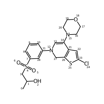 CC(O)CS(=O)(=O)c1cccc(N2C=C(N3CCOCC3)c3cc(Cl)sc3C2)c1